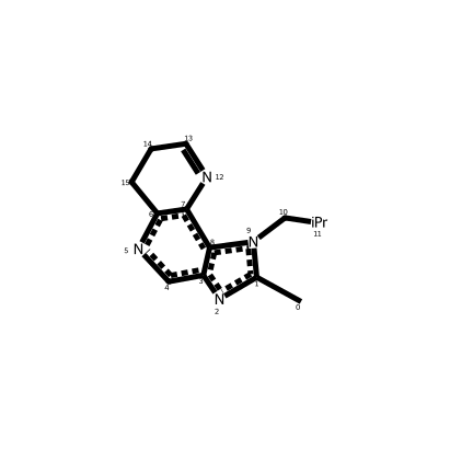 Cc1nc2cnc3c(c2n1CC(C)C)N=CCC3